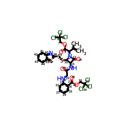 C=C(C)C(C(=O)OCC(Cl)(Cl)Cl)N1C(=O)C(NC(=O)CNc2ccccc2C(=O)OCC(Cl)(Cl)Cl)C1SSc1nc2ccccc2s1